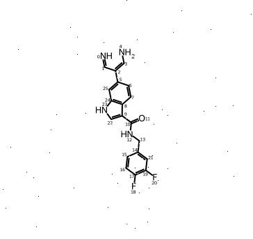 N=C/C(=C\N)c1ccc2c(C(=O)NCc3ccc(F)c(F)c3)c[nH]c2c1